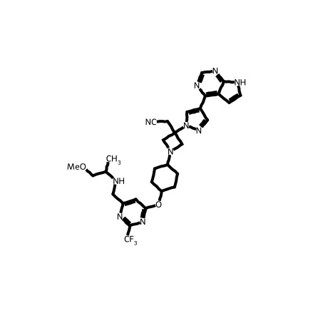 COCC(C)NCc1cc(OC2CCC(N3CC(CC#N)(n4cc(-c5ncnc6[nH]ccc56)cn4)C3)CC2)nc(C(F)(F)F)n1